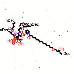 CCCCCCCCCCCCCC(=O)O[C@H](CCCCCCCCCCC)CC(=O)N[C@H]1[C@H](OC[C@@H]2CCCN2C(=O)CCCCCCCCCCCCCOCC[C@H](O)CCCCCCCCCCC)O[C@H](CO)[C@@H](OP(=O)(O)O)[C@@H]1OC(=O)C[C@@H](CCCCCCCCCCC)OC(=O)CCCCCCCCCCCCC